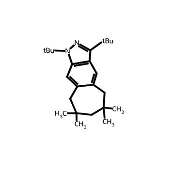 CC1(C)Cc2cc3c(C(C)(C)C)nn(C(C)(C)C)c3cc2CC(C)(C)C1